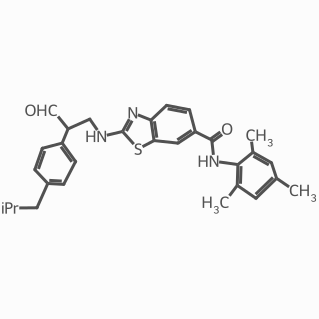 Cc1cc(C)c(NC(=O)c2ccc3nc(NCC(C=O)c4ccc(CC(C)C)cc4)sc3c2)c(C)c1